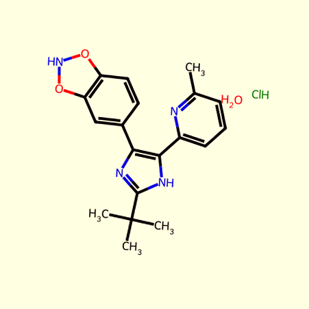 Cc1cccc(-c2[nH]c(C(C)(C)C)nc2-c2ccc3c(c2)ONO3)n1.Cl.O